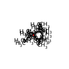 CC[C@H]1OC(=O)[C@H](C)[C@@H](O[C@H]2C[C@@](C)(OC)[C@@H](OC(=O)CCN(CC)CC)[C@H](C)O2)[C@H](C)[C@@H](O[C@@H]2O[C@H](C)C[C@H](N(C)C)[C@H]2O)[C@](C)(O)C[C@@H](C)CN(C)[C@H](C)[C@]1(C)OC(=O)OC